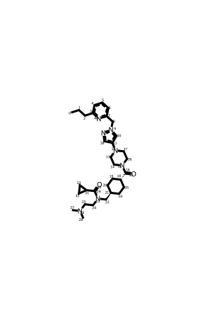 CCCc1cccc(Cn2cc(N3CCN(C(=O)[C@H]4CC[C@H](CN(CCN(C)C)C(=O)C5CC5)CC4)CC3)cn2)n1